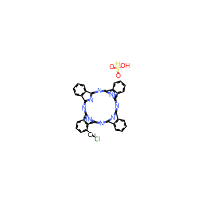 O=[SH](=O)O.[Cl][Cu][c]1cccc2c3nc4nc(nc5[nH]c(nc6nc(nc([nH]3)c12)-c1ccccc1-6)c1ccccc51)-c1ccccc1-4